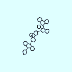 c1ccc(-c2c3ccccc3c(-c3ccc4c(c3)oc3ccc(-c5cc6ccccc6c6c5oc5c7ccccc7c7ccccc7c56)cc34)c3ccccc23)cc1